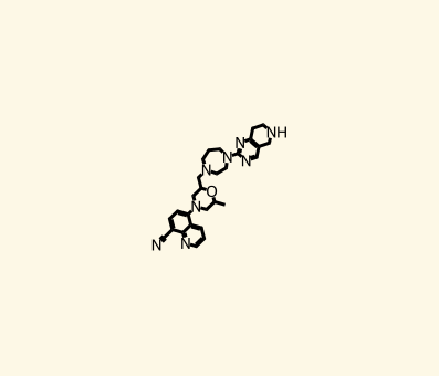 CC1CN(c2ccc(C#N)c3ncccc23)CC(CN2CCCN(c3ncc4c(n3)CCNC4)CC2)O1